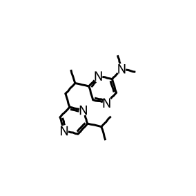 CC(C)c1cncc(CC(C)c2cncc(N(C)C)n2)n1